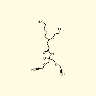 C#CCOCC(C)(COCC#C)NC(=O)CCC(CSCCC)SCCC